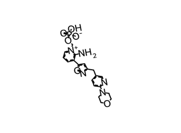 Nc1c(-c2cc(Cc3ccc(N4CCOCC4)nc3)no2)ccc[n+]1COP(=O)([O-])O